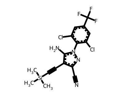 C[Si](C)(C)C#Cc1c(C#N)nn(-c2c(Cl)cc(C(F)(F)F)cc2Cl)c1N